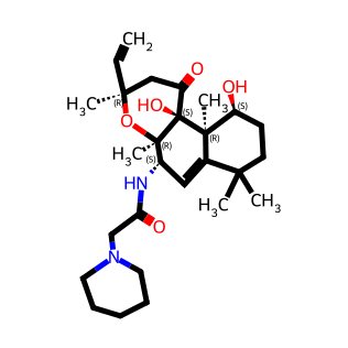 C=C[C@@]1(C)CC(=O)[C@@]2(O)[C@](C)(O1)[C@@H](NC(=O)CN1CCCCC1)C=C1C(C)(C)CC[C@H](O)[C@@]12C